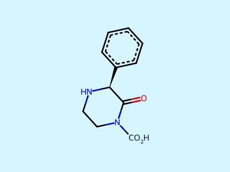 O=C(O)N1CCN[C@@H](c2ccccc2)C1=O